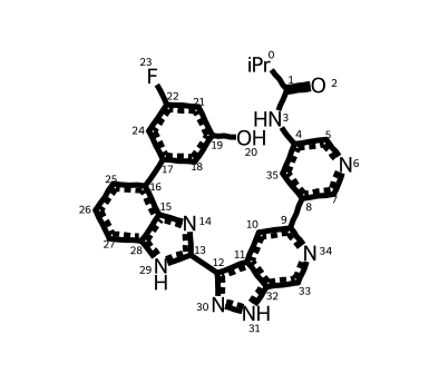 CC(C)C(=O)Nc1cncc(-c2cc3c(-c4nc5c(-c6cc(O)cc(F)c6)cccc5[nH]4)n[nH]c3cn2)c1